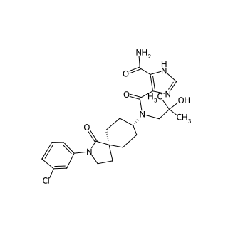 CC(C)(O)CN(C(=O)c1nc[nH]c1C(N)=O)[C@H]1CC[C@@]2(CCN(c3cccc(Cl)c3)C2=O)CC1